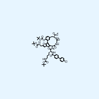 COC(=O)[C@@H]1Cc2ccc(OC(=O)OC(C)(C)C)c(c2)-c2cc(cc3cc(CNC(=O)OC(C)(C)C)oc23)[C@H](N(C)C(=O)[C@H](CCCCNC(=O)OC(C)(C)C)NC(=O)c2ccc(-c3ccc(Cl)cc3)cc2)C(=O)N[C@@H](C)C(=O)N1